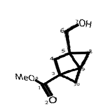 COC(=O)C12CC3(CO)CC31C2